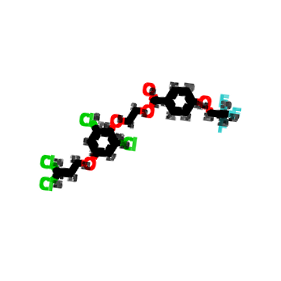 O=C(OCCOc1c(Cl)cc(OCC=C(Cl)Cl)cc1Cl)c1ccc(OCC(F)(F)F)cc1